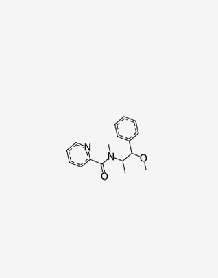 COC(c1ccccc1)C(C)N(C)C(=O)c1ccccn1